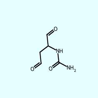 NC(=O)NC(C=O)CC=O